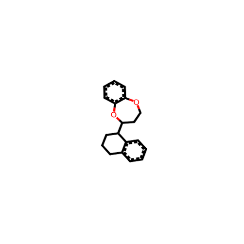 c1ccc2c(c1)CCCC2C1CCOc2ccccc2O1